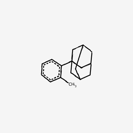 Cc1ccccc1C12CC3CC(CC(C3)C1)C2